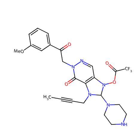 CC#CCN1c2c(cnn(CC(=O)c3cccc(OC)c3)c2=O)N(OC(=O)C(F)(F)F)C1N1CCNCC1